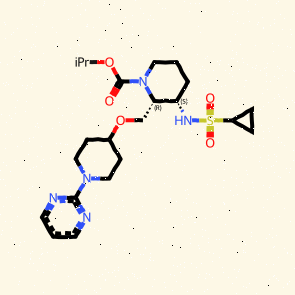 CC(C)OC(=O)N1CCC[C@H](NS(=O)(=O)C2CC2)[C@@H]1COC1CCN(c2ncccn2)CC1